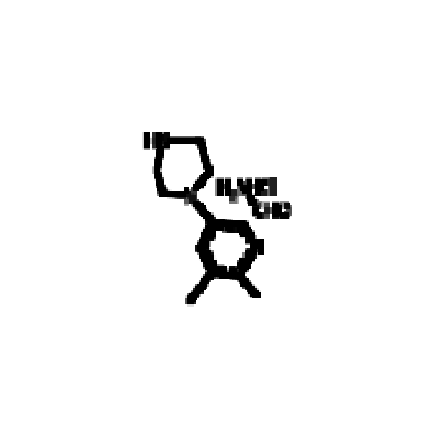 Cc1cc(N2CCNCC2)cnc1C.Cl.NC=O